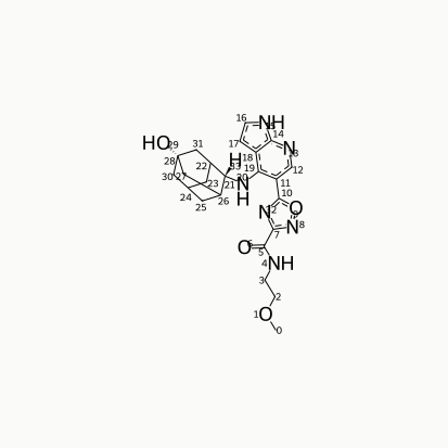 COCCNC(=O)c1noc(-c2cnc3[nH]ccc3c2N[C@H]2C3CC4CC2C[C@@](O)(C4)C3)n1